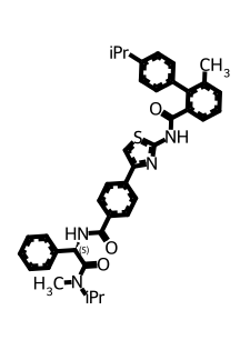 Cc1cccc(C(=O)Nc2nc(-c3ccc(C(=O)N[C@H](C(=O)N(C)C(C)C)c4ccccc4)cc3)cs2)c1-c1ccc(C(C)C)cc1